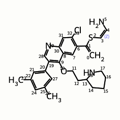 C=C(S/C=C\N)c1cc2c(OCCC3CCCCN3)c(-c3cc(C)cc(C)c3)cnc2cc1Cl